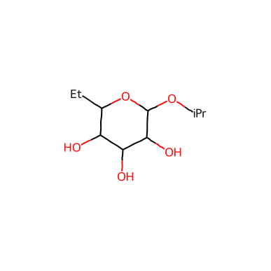 CCC1OC(OC(C)C)C(O)C(O)C1O